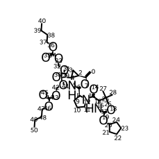 C=C[C@@H]1C[C@]1(NC(=O)[C@@H]1CCCN1C(=O)C(NC(=O)OC1CCCC1)C(C)(C)C)P(=O)(OCOC(=O)OCCCC)OCOC(=O)OCCCC